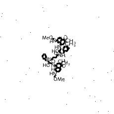 COCCNc1ccc2c(c1)[C@@H](NC[C@H](O)[C@H](Cc1ccccc1)NC(=O)CCC(=O)N[C@@H](Cc1ccccc1)[C@@H](O)CN[C@@H]1CC(C)(C)C(=O)c3ccc(NCCOC)cc31)CC(C)(C)C2=O